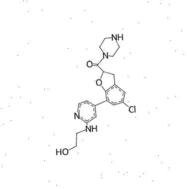 O=C(C1Cc2cc(Cl)cc(-c3ccnc(NCCO)c3)c2O1)N1CCNCC1